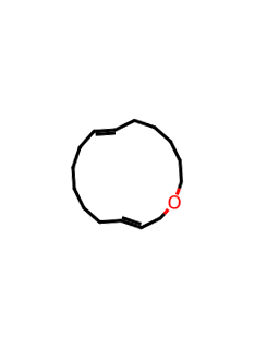 C1=C/CCCCCOC/C=C/CCCCC/1